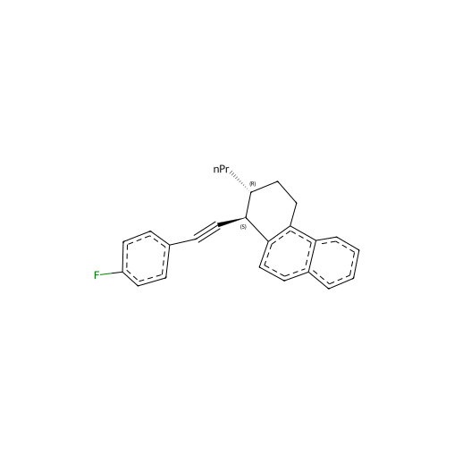 CCC[C@@H]1CCc2c(ccc3ccccc23)[C@H]1C#Cc1ccc(F)cc1